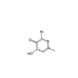 CC(=O)c1nn(C)cc(O)c1=O